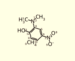 C.CN(C)c1cc([N+](=O)[O-])ccc1O